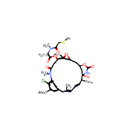 COc1cc2cc(c1Cl)N(C)C(=O)CC(OC(=O)[C@H](C)N(C)C(=O)CSC(C)C)C1(C)OC1CC1CC(O)(NC(=O)O1)C(OC)/C=C/C=C(\C)C2